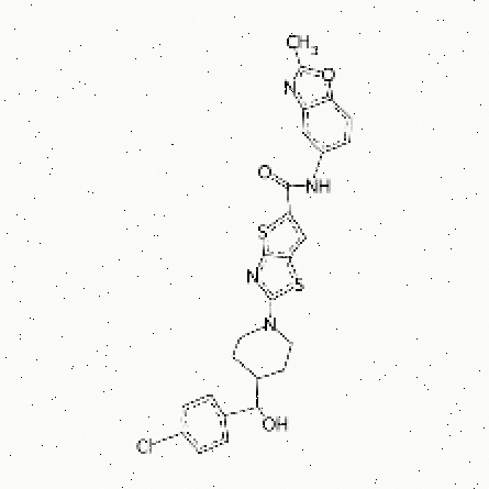 Cc1nc2cc(NC(=O)c3cc4sc(N5CCC(C(O)c6ccc(Cl)cc6)CC5)nc4s3)ccc2o1